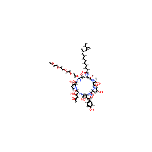 C=C1NC([C@H](O)CC(C)=O)C(=O)N2CC[C@H](O)C2C(=O)N[C@H](OCCOCCOCCOCCOC)[C@H](O)CC(NC(=O)CCCCCCCCC(C)CC(C)CC)C(=O)NC([C@@H](C)O)C(=O)N2C[C@H](O)CC2C(=O)NC1[C@H](O)[C@@H](O)c1ccc(O)cc1